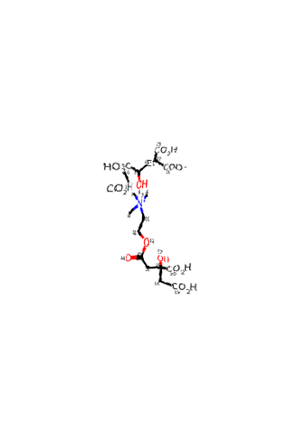 CC(=O)O.CCC(O)C(=O)O.C[N+](C)(C)CCOC(=O)CC(O)(CC(=O)O)C(=O)O.O=C([O-])CC(=O)O